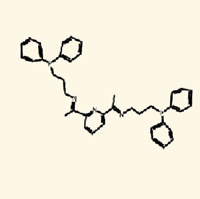 C/C(=N\CCCP(c1ccccc1)c1ccccc1)c1cccc(/C(C)=N/CCCP(c2ccccc2)c2ccccc2)n1